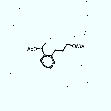 COCCCc1ccccc1N(C)OC(C)=O